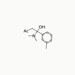 CC(=O)CC(O)(c1cccc(C)c1)N(C)C